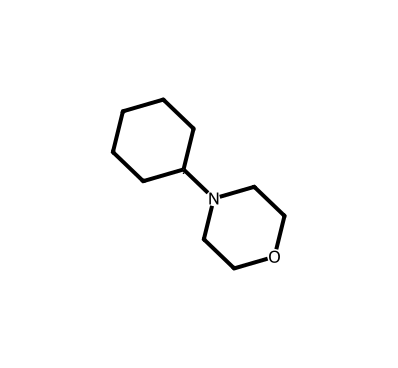 C1CC[C](N2CCOCC2)CC1